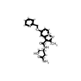 Cc1nn2ccc(OCc3ccccn3)cc2c1C(=O)N[C@H](CO)CC(N)=O